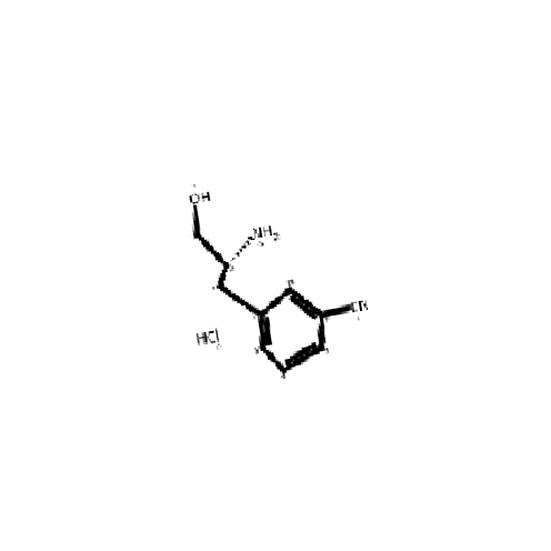 Cl.N#Cc1cccc(C[C@@H](N)CO)c1